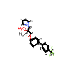 CC(O)(COc1ccc(-c2ccc(C(F)(F)F)cc2)cc1)CN1CCCC1